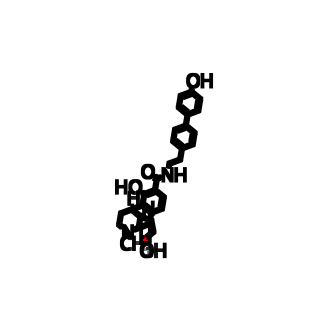 CN1CC[C@H]2c3c(ccc(C(=O)NCCc4ccc(-c5ccc(O)cc5)cc4)c3O)C[C@@H]1[C@@H]2/C=C\CO